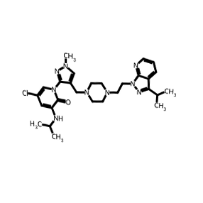 CC(C)Nc1cc(Cl)cn(-c2nn(C)cc2CN2CCN(CCn3nc(C(C)C)c4cccnc43)CC2)c1=O